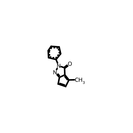 CC1=C2C(=O)N(c3ccccc3)N=C2C=C1